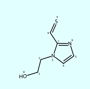 OCCn1ccnc1C=S